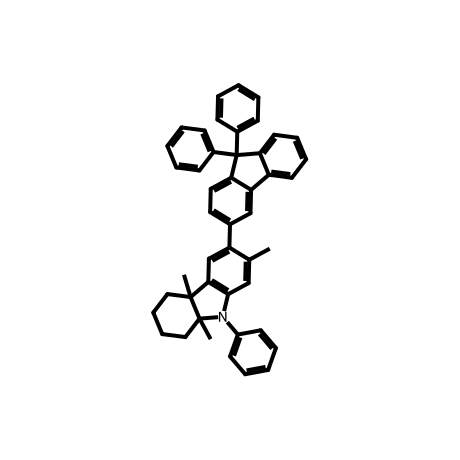 Cc1cc2c(cc1-c1ccc3c(c1)-c1ccccc1C3(c1ccccc1)c1ccccc1)C1(C)CCCCC1(C)N2c1ccccc1